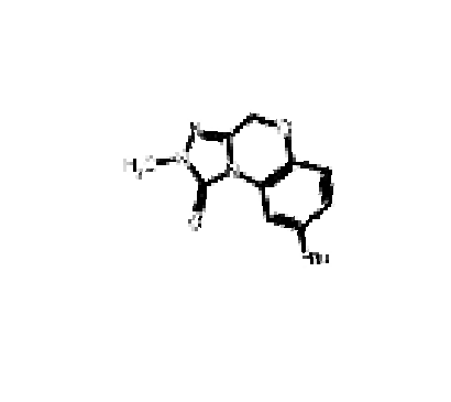 Cn1nc2n(c1=O)-c1cc(C(C)(C)C)ccc1OC2